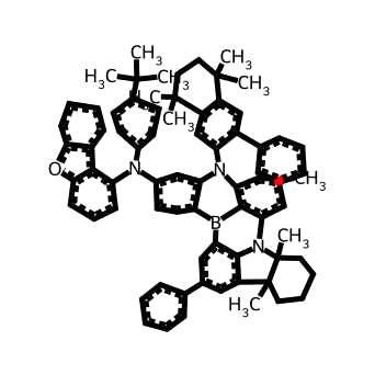 Cc1cc2c3c(c1)N1c4c(cc(-c5ccccc5)cc4C4(C)CCCCC14C)B3c1ccc(N(c3ccc(C(C)(C)C)cc3)c3cccc4oc5ccccc5c34)cc1N2c1cc2c(cc1-c1ccccc1)C(C)(C)CCC2(C)C